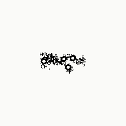 CC1CC2CC(C1)C(NC(=O)c1cnc(-c3cn(C4CCC(F)(F)CC4)c4cc(O[C@H]5CC[C@H](N(C)CC(F)(F)F)CC5)ccc34)nc1C(F)(F)F)(C(=O)O)C2